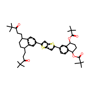 CC(C)(C)C(=O)CCC1CCC(CCC(=O)C(C)(C)C)c2cc(-c3cc4sc(-c5ccc6c(c5)C(OC(=O)C(C)(C)C)CCC6OC(=O)C(C)(C)C)cc4s3)ccc21